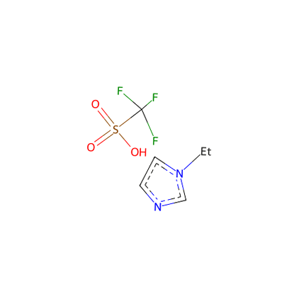 CCn1ccnc1.O=S(=O)(O)C(F)(F)F